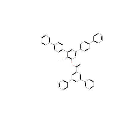 C=C(Oc1cc(-c2ccc(-c3ccccc3)cc2)cc(-c2ccc(-c3ccccc3)cc2)c1N)c1cc(-c2ccccc2)cc(-c2ccccc2)c1